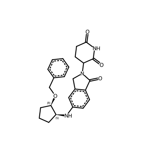 O=C1CCC(N2Cc3cc(N[C@H]4CCC[C@H]4OCc4ccccc4)ccc3C2=O)C(=O)N1